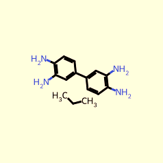 CCC.Nc1ccc(-c2ccc(N)c(N)c2)cc1N